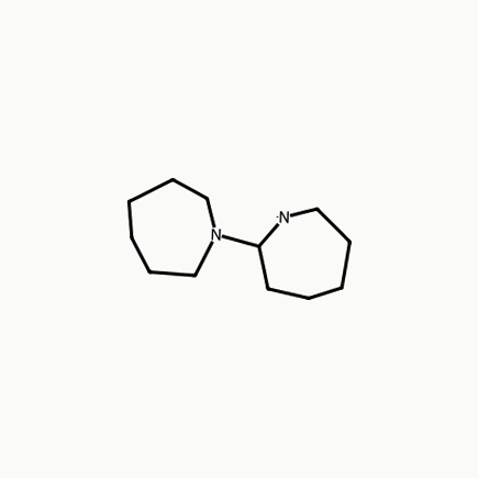 C1CC[N]C(N2CCCCCC2)CC1